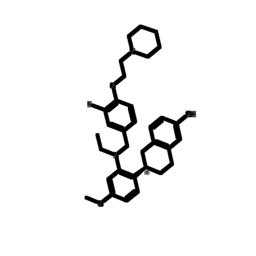 CCN(Cc1ccc(OCCN2CCCCC2)c(F)c1)c1cc(OC)ccc1[C@@H]1CCc2cc(O)ccc2C1